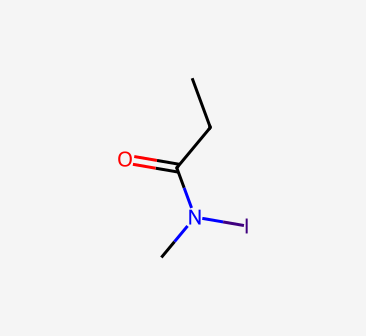 CCC(=O)N(C)I